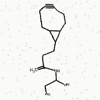 C=C(CCC1C2CCC#CCCC21)NC(CCC)CC(C)=O